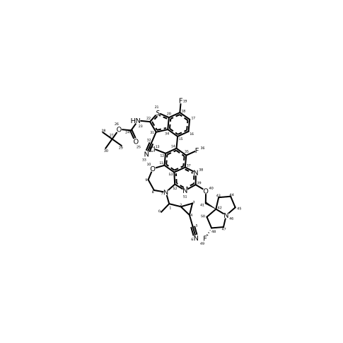 CC(C1CC1C#N)N1CCOc2c(Cl)c(-c3ccc(F)c4sc(NC(=O)OC(C)(C)C)c(C#N)c34)c(F)c3nc(OC[C@@]45CCCN4C[C@H](F)C5)nc1c23